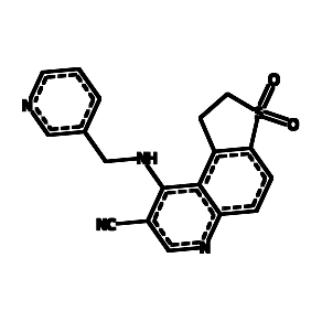 N#Cc1cnc2ccc3c(c2c1NCc1cccnc1)CCS3(=O)=O